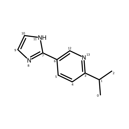 CC(C)c1ccc(-c2ncc[nH]2)cn1